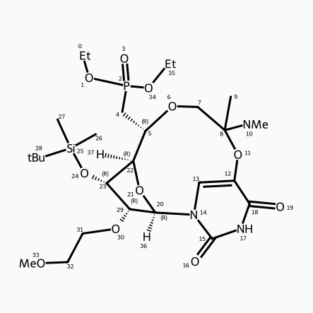 CCOP(=O)(C[C@@H]1OCC(C)(NC)Oc2cn(c(=O)[nH]c2=O)[C@@H]2O[C@H]1[C@@H](O[Si](C)(C)C(C)(C)C)[C@H]2OCCOC)OCC